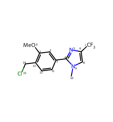 COc1cc(-c2nc(C(F)(F)F)cn2C)ccc1CCl